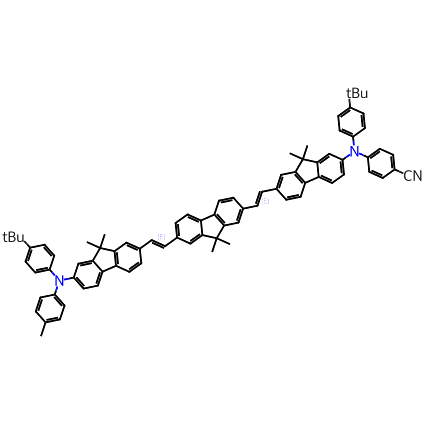 Cc1ccc(N(c2ccc(C(C)(C)C)cc2)c2ccc3c(c2)C(C)(C)c2cc(/C=C/c4ccc5c(c4)C(C)(C)c4cc(/C=C/c6ccc7c(c6)C(C)(C)c6cc(N(c8ccc(C#N)cc8)c8ccc(C(C)(C)C)cc8)ccc6-7)ccc4-5)ccc2-3)cc1